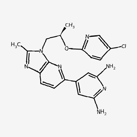 Cc1nc2ccc(-c3cc(N)nc(N)c3)nc2n1C[C@@H](C)Oc1ccc(Cl)cn1